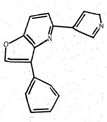 C1=NCC=C1c1ccc2occ(-c3ccccc3)c2n1